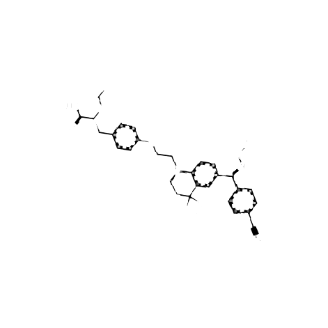 CCO[C@@H](Cc1ccc(OCCN2CCC(C)(C)c3cc(/C(=N\OC)c4ccc(C#N)cc4)ccc32)cc1)C(=O)O